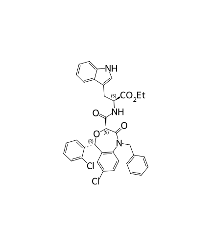 CCOC(=O)[C@H](Cc1c[nH]c2ccccc12)NC(=O)[C@@H]1O[C@@H](c2ccccc2Cl)c2cc(Cl)ccc2N(Cc2ccccc2)C1=O